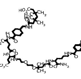 CC(C)(CC(=O)O)CC(C)(C)CC(=O)NCC1CCC(C(=O)NC(CCC(=O)NC(CCC(=O)O)C(=O)NCCOCCOC(C)(C)CCC(=O)NC(CCCCNC(=O)c2ccc(N)cc2)C(N)=O)C(=O)O)CC1